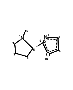 CN1CCC[C@H]1c1ncco1